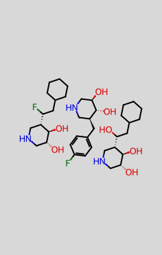 OC(CC1CCCCC1)[C@H]1CNC[C@@H](O)[C@@H]1O.O[C@@H]1[C@@H](Cc2ccc(F)cc2)CNC[C@H]1O.O[C@H]1[C@H](O)CNC[C@@H]1C(F)CC1CCCCC1